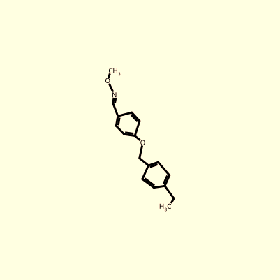 CCc1ccc(COc2ccc([C]=NOC)cc2)cc1